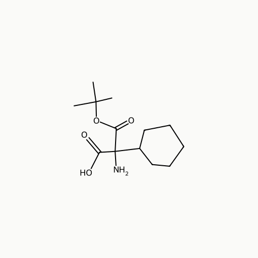 CC(C)(C)OC(=O)C(N)(C(=O)O)C1CCCCC1